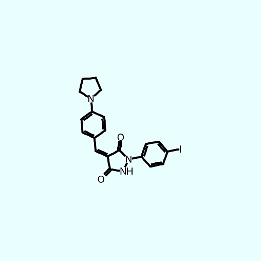 O=C1NN(c2ccc(I)cc2)C(=O)C1=Cc1ccc(N2CCCC2)cc1